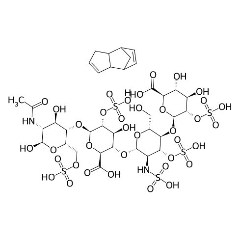 C1=CC2C3C=CC(C3)C2C1.CC(=O)N[C@@H]1[C@@H](O)[C@H](O[C@@H]2O[C@H](C(=O)O)[C@@H](O[C@@H]3O[C@H](CO)[C@@H](O[C@H]4O[C@@H](C(=O)O)[C@H](O)[C@@H](O)[C@@H]4OS(=O)(=O)O)[C@H](OS(=O)(=O)O)[C@H]3NS(=O)(=O)O)[C@H](O)[C@H]2OS(=O)(=O)O)[C@H](COS(=O)(=O)O)O[C@H]1O